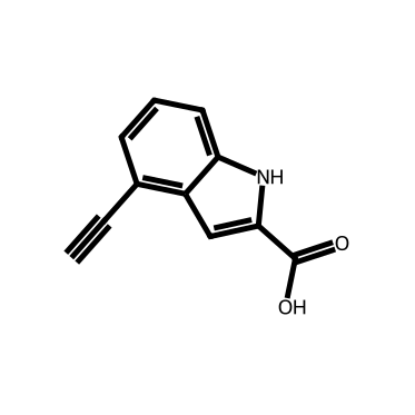 C#Cc1cccc2[nH]c(C(=O)O)cc12